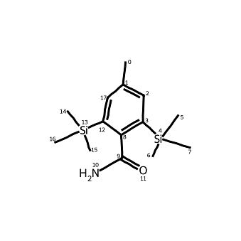 Cc1cc([Si](C)(C)C)c(C(N)=O)c([Si](C)(C)C)c1